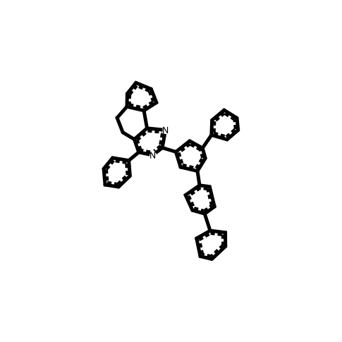 c1ccc(-c2ccc(-c3cc(-c4ccccc4)cc(-c4nc(-c5ccccc5)c5c(n4)-c4ccccc4CC5)c3)cc2)cc1